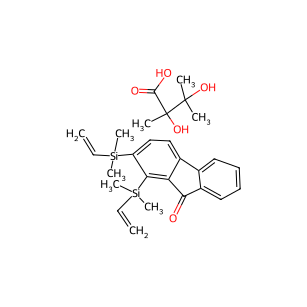 C=C[Si](C)(C)c1ccc2c(c1[Si](C)(C)C=C)C(=O)c1ccccc1-2.CC(C)(O)C(C)(O)C(=O)O